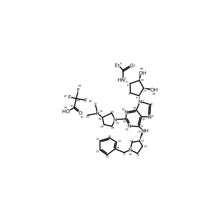 CCC(=O)N[C@H]1C[C@@H](n2cnc3c(N[C@H]4CCN(Cc5ccccc5)C4)nc(N4CC[C@@H](N(C)C)C4)nc32)[C@H](O)[C@@H]1O.O=C(O)C(F)(F)F